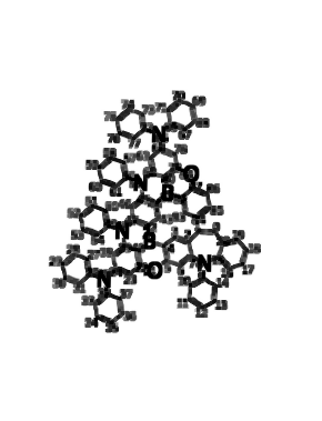 C1=Cc2cc3c(cc2N(c2ccccc2)c2ccccc21)Oc1cc(N(c2ccccc2)c2ccccc2)cc2c1B3c1cc3c(cc1N2c1ccccc1)N(c1ccccc1)c1cc(N(c2ccccc2)c2ccccc2)cc2c1B3c1ccccc1O2